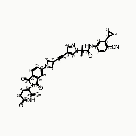 CC(C)(C(=O)Nc1ccc(C#N)c(C2CC2)c1)n1cc(C#CC2CN(c3ccc4c(c3)C(=O)N(C3CCC(=O)NC3=O)C4=O)C2)cn1